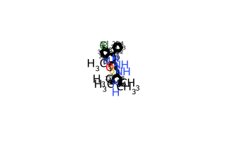 CN1C(=O)C(NC(=S)NC2CC(C)(C)NC(C)(C)C2)N=C(c2ccccc2)c2cc(Cl)ccc21